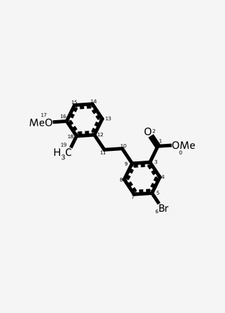 COC(=O)c1cc(Br)ccc1CCc1cccc(OC)c1C